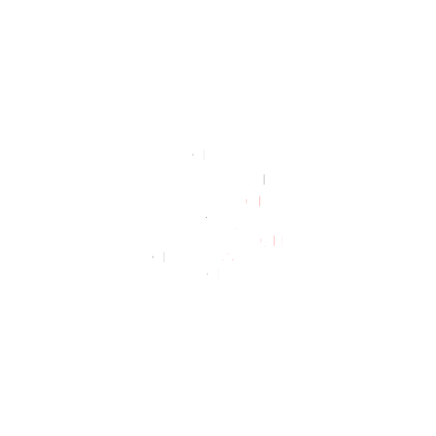 CCC(CC)C(CC)(CC)C(O)(O)O